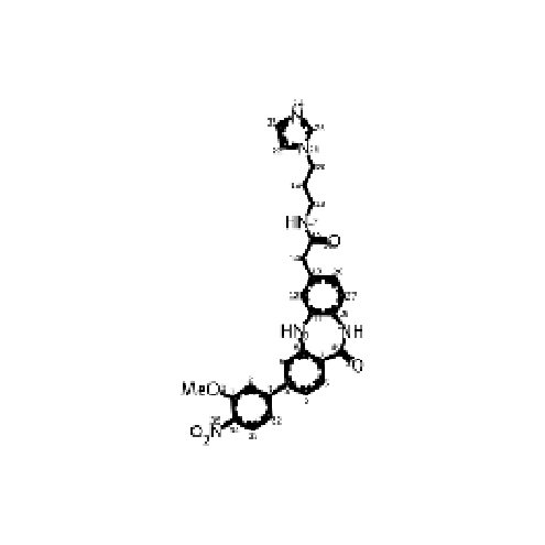 COc1cc(-c2ccc3c(c2)Nc2cc(CC(=O)NCCCn4ccnc4)ccc2NC3=O)ccc1[N+](=O)[O-]